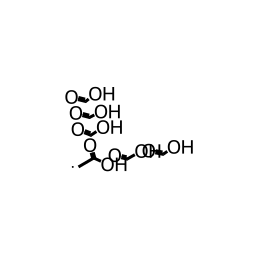 O=CO.O=CO.O=CO.O=CO.O=CO.[CH2]C(=O)O